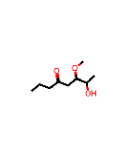 CCCC(=O)CC(OC)C(C)O